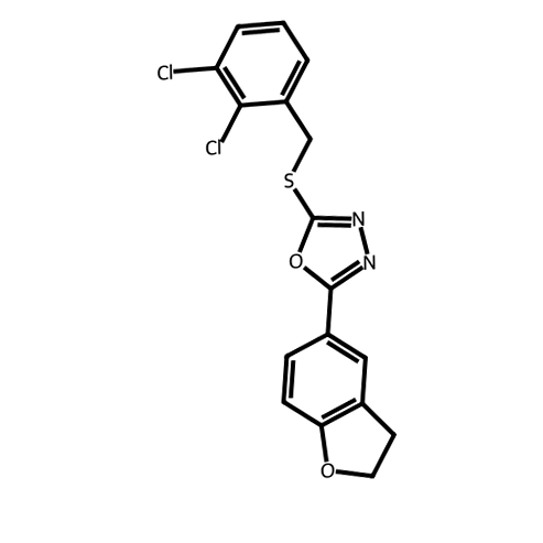 Clc1cccc(CSc2nnc(-c3ccc4c(c3)CCO4)o2)c1Cl